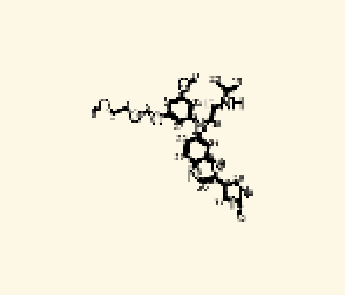 COCCOCOc1cc(OC)cc(N(CCNC(C)C)c2ccc3ncc(C4C=NN(C)C4)nc3c2)c1